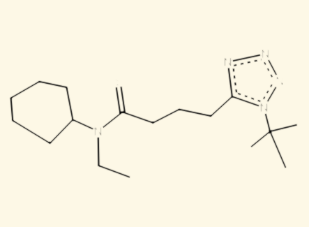 CCN(C(=S)CCCc1nnnn1C(C)(C)C)C1CCCCC1